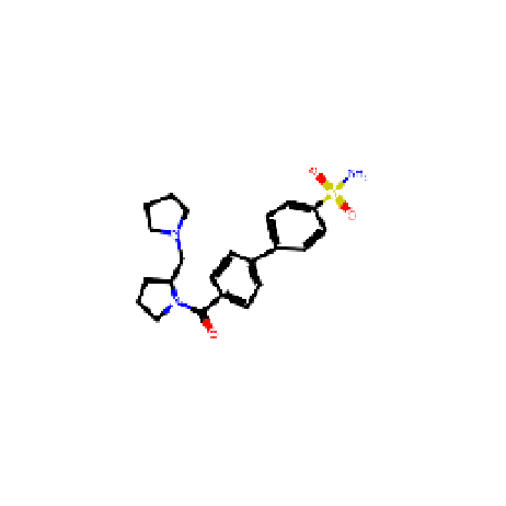 NS(=O)(=O)c1ccc(-c2ccc(C(=O)N3CCCC3CN3CCCC3)cc2)cc1